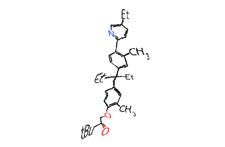 CCc1ccc(-c2ccc(C(CC)(CC)c3ccc(OCC(=O)C(C)(C)C)c(C)c3)cc2C)nc1